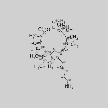 CC[C@H]1OC(=O)[C@H](C)C(=O)[C@H](C)[C@@H](C(C)C(C)C)[C@@]2(C)C[C@H](CN(C)[C@H](C)[C@@H](O)[C@]1(C)O)C(CNCCCN)O2